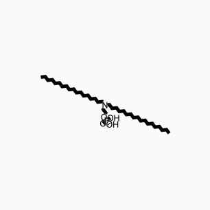 CCCCCCCCCCCCCCCCCCN(CCCCCCCCCCCCCCCCCC)CCOP(=O)(O)O